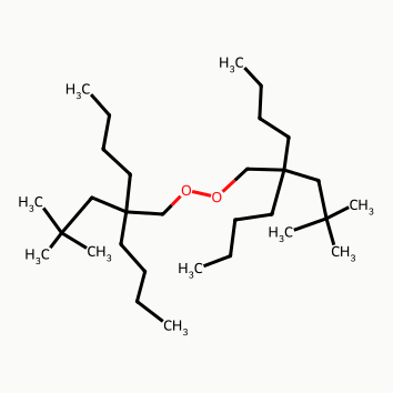 CCCCC(CCCC)(COOCC(CCCC)(CCCC)CC(C)(C)C)CC(C)(C)C